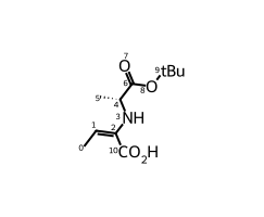 CC=C(N[C@H](C)C(=O)OC(C)(C)C)C(=O)O